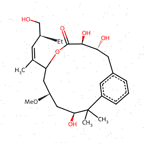 CC[C@@H](/C=C(/C)C1C[C@H](OC)C[C@H](O)C(C)(C)c2cccc(c2)C[C@@H](O)[C@H](O)C(=O)O1)CO